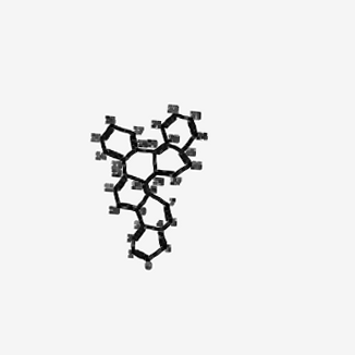 c1ccc2c(c1)ccc1c2ccc2c3ccccc3c3c4ccccc4ccc3c12